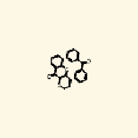 O=C(c1ccccc1)c1ccccc1.O=c1c2c(oc3ccccc13)C=CCS2